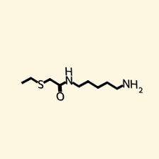 CCSCC(=O)NCCCCCN